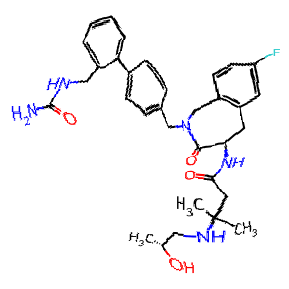 C[C@@H](O)CNC(C)(C)CC(=O)N[C@@H]1Cc2cc(F)ccc2CN(Cc2ccc(-c3ccccc3CNC(N)=O)cc2)C1=O